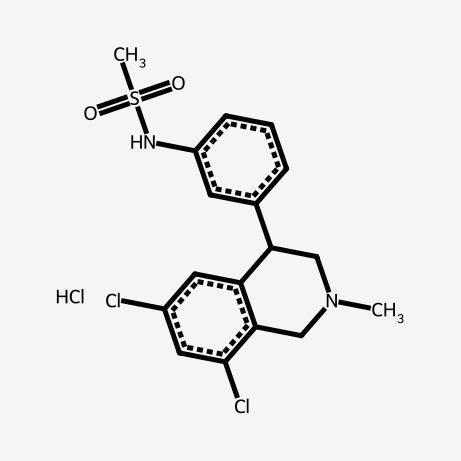 CN1Cc2c(Cl)cc(Cl)cc2C(c2cccc(NS(C)(=O)=O)c2)C1.Cl